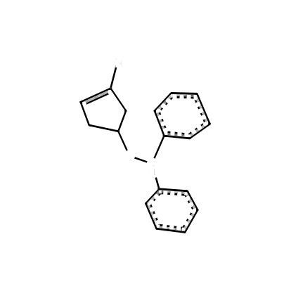 BrC1=CCC(O[SiH](c2ccccc2)c2ccccc2)C1